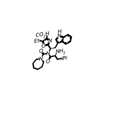 CCc1oc([C@@H](Cc2c[nH]c3ccccc23)N(C(=O)[C@@H](N)CC(C)C)C(=O)N2CCCCCC2)nc1C(=O)O